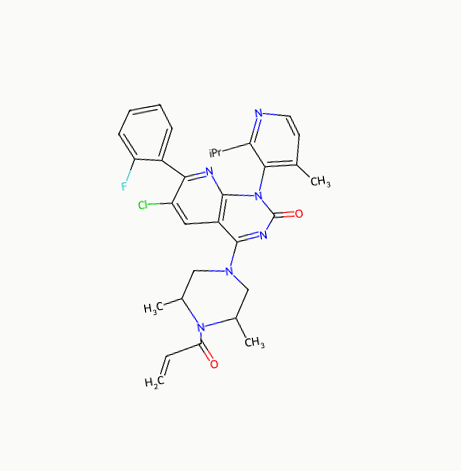 C=CC(=O)N1C(C)CN(c2nc(=O)n(-c3c(C)ccnc3C(C)C)c3nc(-c4ccccc4F)c(Cl)cc23)CC1C